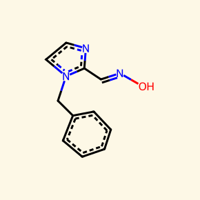 ON=Cc1nccn1Cc1ccccc1